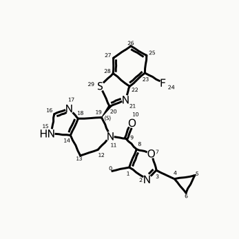 Cc1nc(C2CC2)oc1C(=O)N1CCc2[nH]cnc2[C@H]1c1nc2c(F)cccc2s1